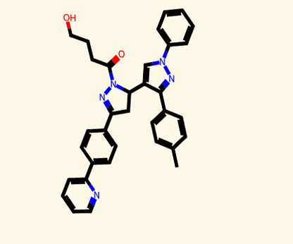 Cc1ccc(-c2nn(-c3ccccc3)cc2C2CC(c3ccc(-c4ccccn4)cc3)=NN2C(=O)CCCO)cc1